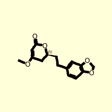 COC1=CC(=O)O[C@@H](CCc2ccc3c(c2)OCO3)C1